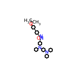 CC(C)Oc1ccc(-c2ccc(-c3nnc(-c4ccc(N(c5ccccc5)c5ccc(N(c6ccccc6)c6ccccc6)cc5)cc4)o3)cc2)cc1